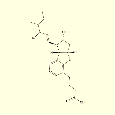 CCC(C)C(O)/C=C/[C@@H]1[C@H]2c3cccc(CCCC(=O)O)c3O[C@H]2C[C@H]1O